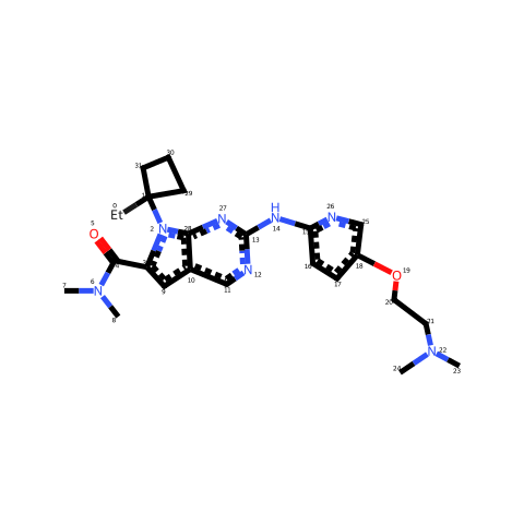 CCC1(n2c(C(=O)N(C)C)cc3cnc(Nc4ccc(OCCN(C)C)cn4)nc32)CCC1